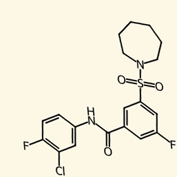 O=C(Nc1ccc(F)c(Cl)c1)c1cc(F)cc(S(=O)(=O)N2CCCCCC2)c1